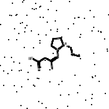 COC[C@H]1CCCN1N=C(C)CC(=O)O